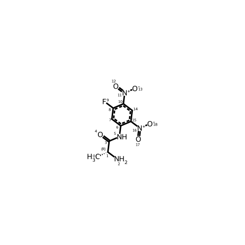 C[C@@H](N)C(=O)Nc1cc(F)c([N+](=O)[O-])cc1[N+](=O)[O-]